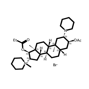 CCC(=O)O[C@@H]1[C@@H]([N+]2(C)CCCCC2)C[C@H]2[C@@H]3CC[C@H]4C[C@H](OC(C)=O)[C@@H](N5CCCCC5)C[C@]4(C)[C@H]3CC[C@]12C.[Br-]